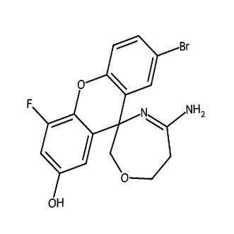 NC1=NC2(COCC1)c1cc(Br)ccc1Oc1c(F)cc(O)cc12